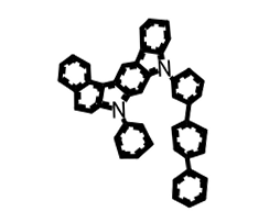 c1ccc(-c2ccc(-c3cccc(-n4c5ccccc5c5cc6c7c8ccccc8ccc7n(-c7ccccc7)c6cc54)c3)cc2)cc1